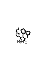 NC(=O)[C@H](Cc1ccccc1)NC(=O)C1=CCN(SI)[C@@H]1c1ccccc1